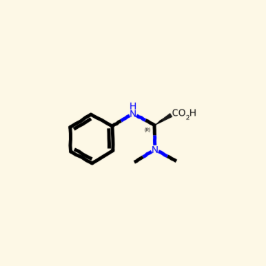 CN(C)[C@@H](Nc1ccccc1)C(=O)O